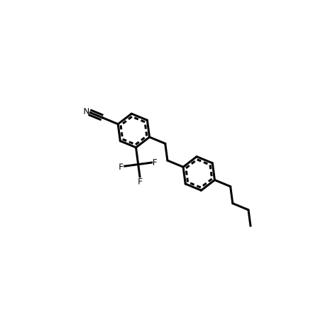 CCCCc1ccc(CCc2ccc(C#N)cc2C(F)(F)F)cc1